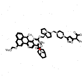 COCOc1cc2c3c(cccc3c1)C(C)c1c-2ncc2c(N3CC4CCC(C3)N4C(=O)OC(C)(C)C)nc(OC[C@@]34CCCN3[C@H](CN3CCN(c5cc(C(C(=O)OC)C(C)C)on5)CC3)CC4)nc12